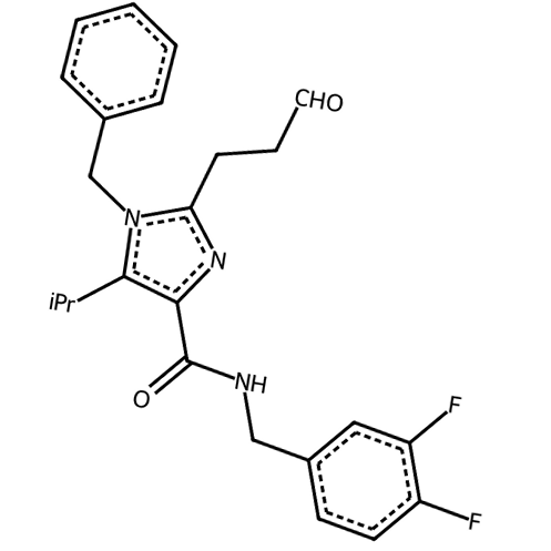 CC(C)c1c(C(=O)NCc2ccc(F)c(F)c2)nc(CCC=O)n1Cc1ccccc1